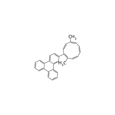 Cc1cccccc(C)c(-c2ccc3c4ccccc4c4ccccc4c3c2)cc1